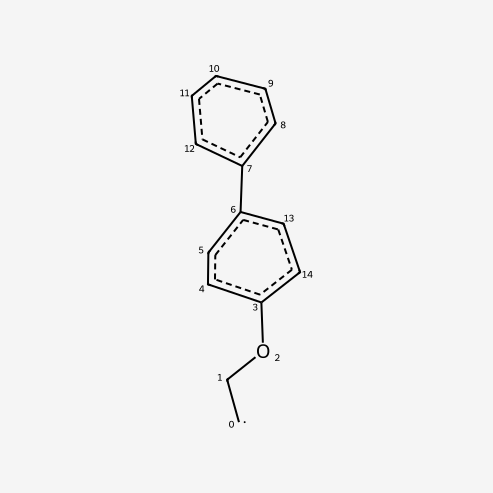 [CH2]COc1ccc(-c2ccccc2)cc1